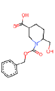 O=C(O)C1CCC(CO)N(C(=O)OCc2ccccc2)C1